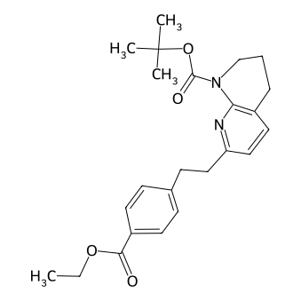 CCOC(=O)c1ccc(CCc2ccc3c(n2)N(C(=O)OC(C)(C)C)CCC3)cc1